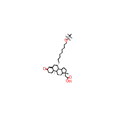 CC(C)(C)[Si](C)(C)OCCCCCCCCC[C@H]1CC2=CC(=O)CC[C@]2(C)C2CC[C@@]3(C)C(CC[C@]3(C)CC(=O)O)C21